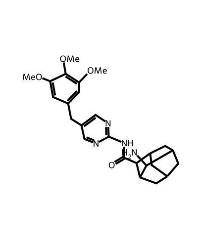 COc1cc(Cc2cnc(NC(=O)C3C4CC5CC(C4)C(N)C3C5)nc2)cc(OC)c1OC